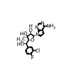 C[C@@]1(O)[C@@H]([C@H](O)c2ccc(F)c(Cl)c2)O[C@@H](n2ccc3c(N)ncnc32)[C@@H]1O